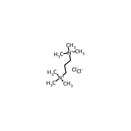 C[N+](C)(C)CCC[N+](C)(C)C.[Cl-].[Cl-]